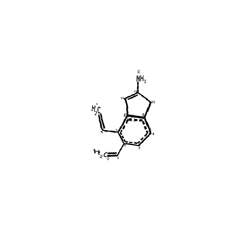 C=Cc1ccc2c(c1C=C)C=C(N)C2